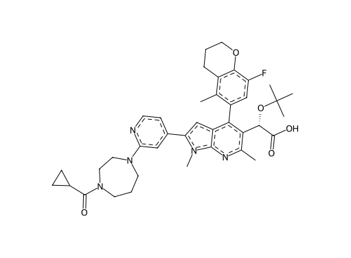 Cc1nc2c(cc(-c3ccnc(N4CCCN(C(=O)C5CC5)CC4)c3)n2C)c(-c2cc(F)c3c(c2C)CCCO3)c1[C@H](OC(C)(C)C)C(=O)O